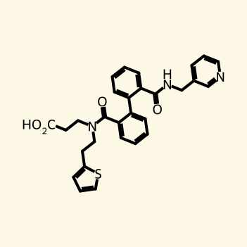 O=C(O)CCN(CCc1cccs1)C(=O)c1ccccc1-c1ccccc1C(=O)NCc1cccnc1